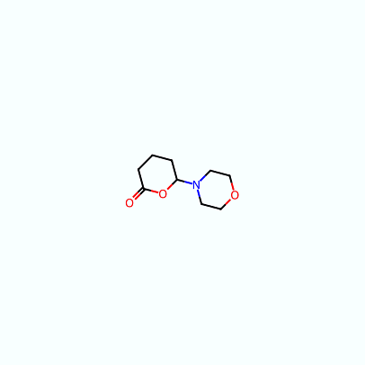 O=C1CCCC(N2CCOCC2)O1